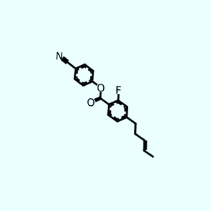 C/C=C/CCc1ccc(C(=O)Oc2ccc(C#N)cc2)c(F)c1